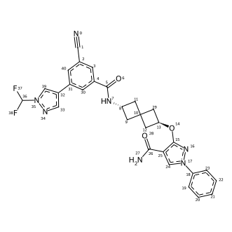 N#Cc1cc(C(=O)N[C@H]2CC3(C2)C[C@H](Oc2nn(-c4ccccc4)cc2C(N)=O)C3)cc(-c2cnn(C(F)F)c2)c1